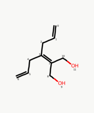 C=CCC(CC=C)=C(CO)CO